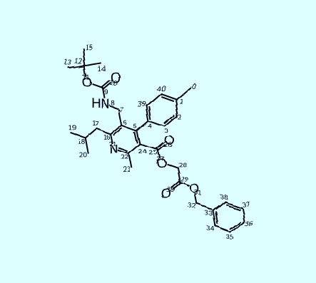 Cc1ccc(-c2c(CNC(=O)OC(C)(C)C)c(CC(C)C)nc(C)c2C(=O)OCC(=O)OCc2ccccc2)cc1